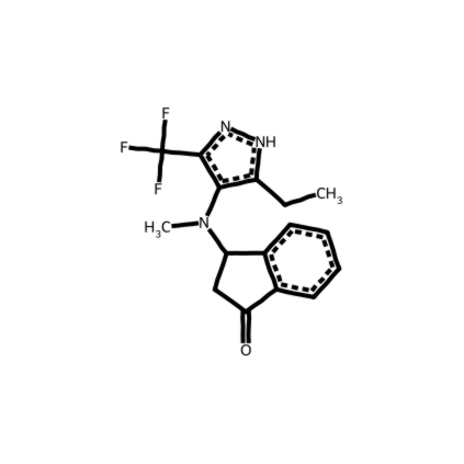 CCc1[nH]nc(C(F)(F)F)c1N(C)C1CC(=O)c2ccccc21